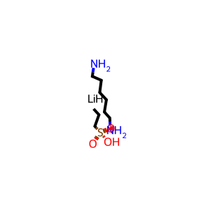 CCCS(=O)(=O)O.NCCCCCCN.[LiH]